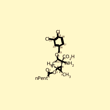 CCCCCC(=O)O[C@@]1(F)[C@H](C)[C@@H]1[C@](N)(C(=O)O)[C@@H](C)OCc1ccc(Cl)c(Cl)c1